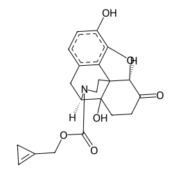 O=C1CCC2(O)[C@H]3Cc4ccc(O)c5c4C2(CCN3C(=O)OCC2=CC2)[C@H]1O5